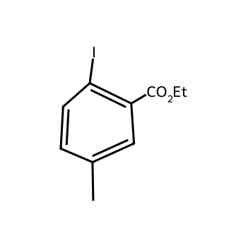 CCOC(=O)c1cc(C)ccc1I